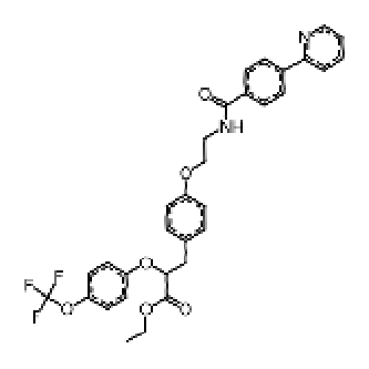 CCOC(=O)C(Cc1ccc(OCCNC(=O)c2ccc(-c3ccccn3)cc2)cc1)Oc1ccc(OC(F)(F)F)cc1